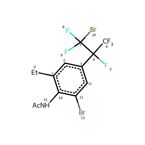 CCc1cc(C(F)(C(F)(F)F)C(F)(F)Br)cc(Br)c1NC(C)=O